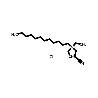 CCCCCCCCCCCC[N+](CC)(CC)CCC#N.[Cl-]